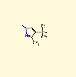 CCCC(C)(CC)c1cn(C)nc1C(F)(F)F